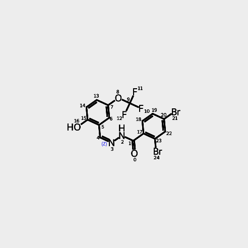 O=C(N/N=C\c1cc(OC(F)(F)F)ccc1O)c1ccc(Br)cc1Br